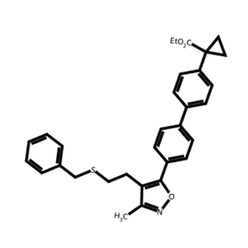 CCOC(=O)C1(c2ccc(-c3ccc(-c4onc(C)c4CCSCc4ccccc4)cc3)cc2)CC1